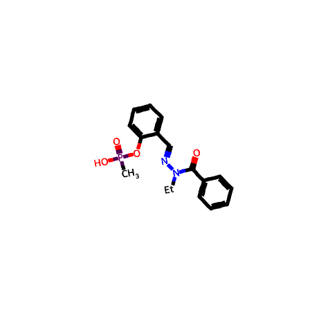 CCN(N=Cc1ccccc1OP(C)(=O)O)C(=O)c1ccccc1